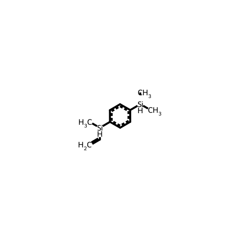 C=C[SiH](C)c1ccc([SiH](C)C)cc1